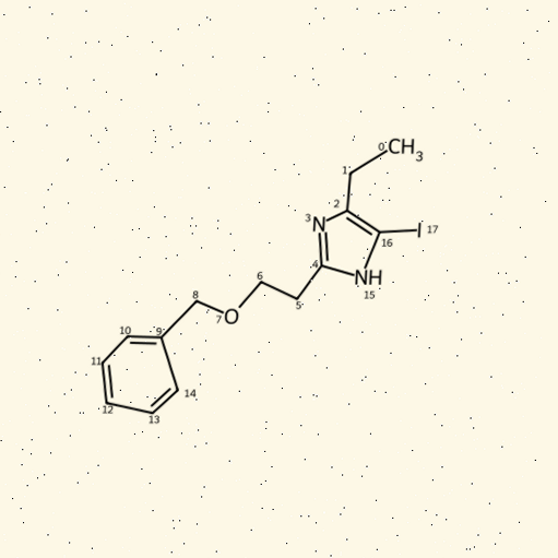 CCc1nc(CCOCc2ccccc2)[nH]c1I